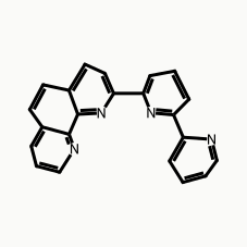 c1ccc(-c2cccc(-c3ccc4ccc5cccnc5c4n3)n2)nc1